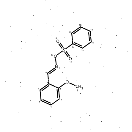 COc1ccccc1/C=N/OS(=O)(=O)c1ccccc1